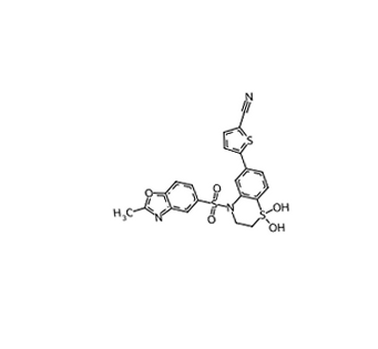 Cc1nc2cc(S(=O)(=O)N3CCS(O)(O)c4ccc(-c5ccc(C#N)s5)cc43)ccc2o1